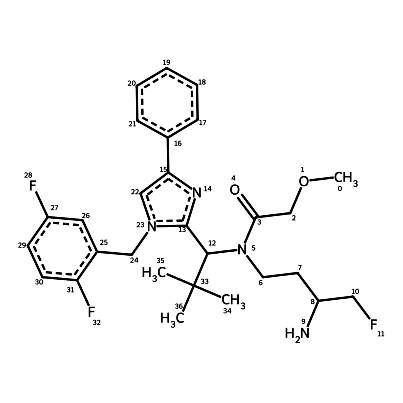 COCC(=O)N(CCC(N)CF)C(c1nc(-c2ccccc2)cn1Cc1cc(F)ccc1F)C(C)(C)C